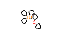 c1ccc(Oc2ccccc2C[PH](c2ccccc2)(c2ccccc2)c2ccccc2)cc1